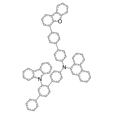 c1ccc(-c2ccc(-c3ccc(N(c4ccc(-c5ccc(-c6cccc7c6oc6ccccc67)cc5)cc4)c4cc5ccccc5c5ccccc45)cc3)c(-n3c4ccccc4c4ccccc43)c2)cc1